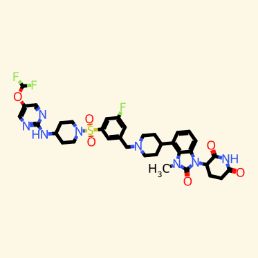 Cn1c(=O)n(C2CCC(=O)NC2=O)c2cccc(C3CCN(Cc4cc(F)cc(S(=O)(=O)N5CCC(Nc6ncc(OC(F)F)cn6)CC5)c4)CC3)c21